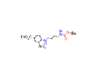 CCOC(=O)c1ccc(NC/C=C/CNC(=O)OC(C)(C)C)c([N+](=O)[O-])c1